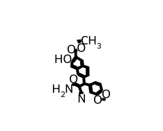 CCOC(=O)c1cc2ccc3c(c2cc1O)OC(N)=C(C#N)C3c1ccc2c(c1)OCO2